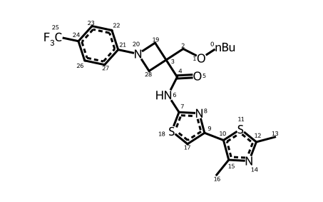 CCCCOCC1(C(=O)Nc2nc(-c3sc(C)nc3C)cs2)CN(c2ccc(C(F)(F)F)cc2)C1